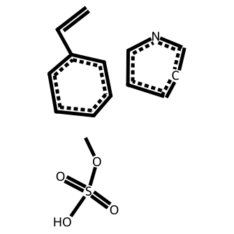 C=Cc1ccccc1.COS(=O)(=O)O.c1ccncc1